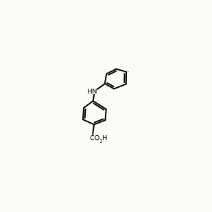 O=C(O)c1ccc(Nc2cc[c]cc2)cc1